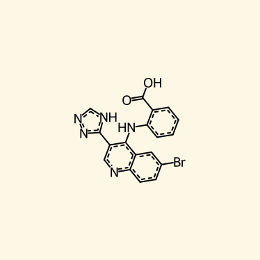 O=C(O)c1ccccc1Nc1c(-c2nnc[nH]2)cnc2ccc(Br)cc12